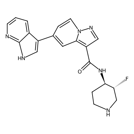 O=C(N[C@@H]1CCNC[C@H]1F)c1cnn2ccc(-c3c[nH]c4ncccc34)cc12